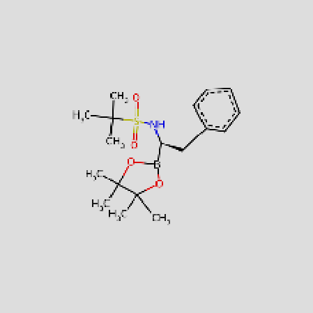 CC1(C)OB([C@H](Cc2ccccc2)NS(=O)(=O)C(C)(C)C)OC1(C)C